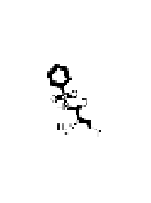 CC(C)C[C@H](N)C(=O)NS(=O)(=O)c1ccccc1